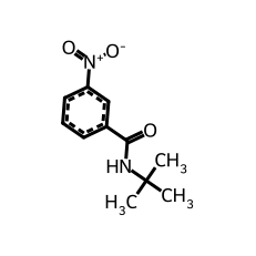 CC(C)(C)NC(=O)c1cccc([N+](=O)[O-])c1